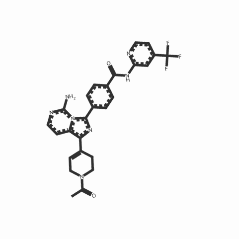 CC(=O)N1CC=C(c2nc(-c3ccc(C(=O)Nc4cc(C(F)(F)F)ccn4)cc3)n3c(N)nccc23)CC1